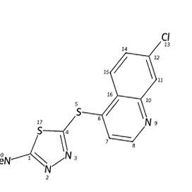 CNc1nnc(Sc2ccnc3cc(Cl)ccc23)s1